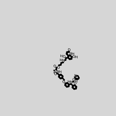 CC(C)C[C@H](NC(=O)c1ccc(COc2cccc([C@@H](NC(=O)O[C@H]3CN4CCC3CC4)c3ccccc3)c2)cc1)C(=O)OCCCCNC[C@H](O)c1ccc(O)c2[nH]c(=O)ccc12